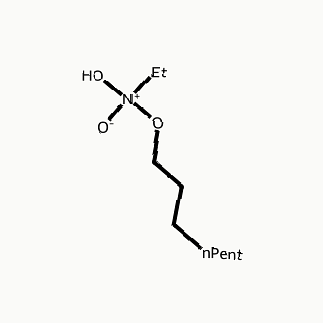 CCCCCCCCO[N+]([O-])(O)CC